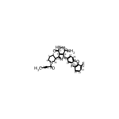 CC#CC(=O)N1CCCC(c2nn(-c3ccc(Oc4c(F)cccc4F)cc3)c3c(N)n[nH]c(=O)c23)C1